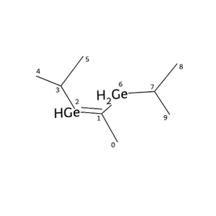 C[C](=[GeH][CH](C)C)[GeH2][CH](C)C